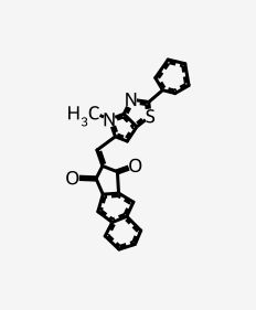 Cn1c(C=C2C(=O)c3cc4ccccc4cc3C2=O)cc2sc(-c3ccccc3)nc21